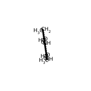 C=C(C)CCCCCCCCC(=O)NCC(=O)NCCCCCCCCCCCC(=O)NCC(=O)NC